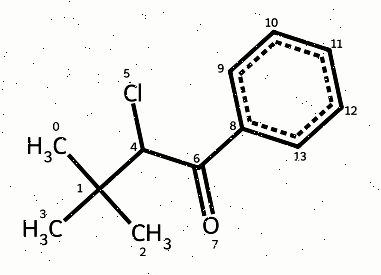 CC(C)(C)C(Cl)C(=O)c1ccccc1